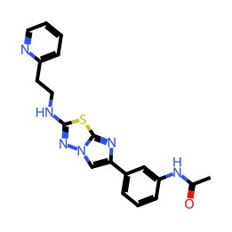 CC(=O)Nc1cccc(-c2cn3nc(NCCc4ccccn4)sc3n2)c1